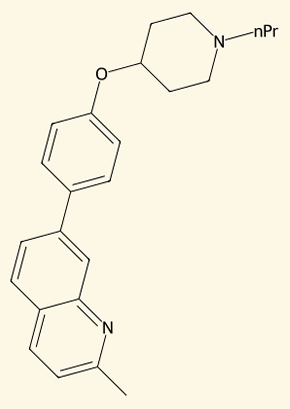 CCCN1CCC(Oc2ccc(-c3ccc4ccc(C)nc4c3)cc2)CC1